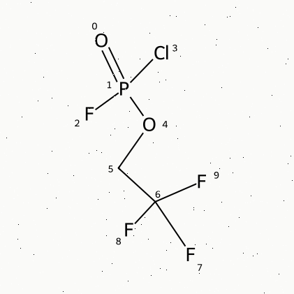 O=P(F)(Cl)OCC(F)(F)F